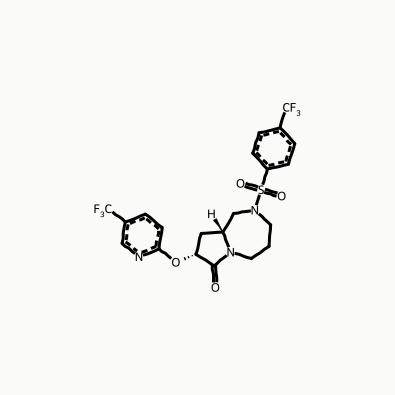 O=C1[C@H](Oc2ccc(C(F)(F)F)cn2)C[C@@H]2CN(S(=O)(=O)c3ccc(C(F)(F)F)cc3)CCCN12